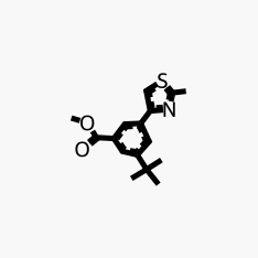 COC(=O)c1cc(-c2csc(C)n2)cc(C(C)(C)C)c1